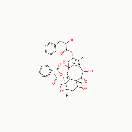 CC(=O)O[C@@]12CO[C@@H]1C[C@H](O)[C@@]1(C)C(=O)[C@H](O)C3=C(C)[C@@H](OC(=O)[C@H](O)[C@@H](C)c4ccccc4)C[C@@](O)(C(OC(=O)c4ccccc4)[C@H]21)C3(C)C